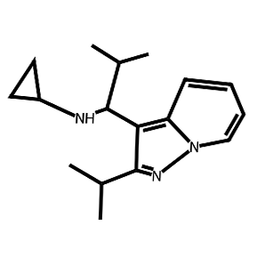 CC(C)c1nn2ccccc2c1C(NC1CC1)C(C)C